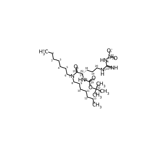 CCCCCCCN(CCCCCCC)C(=O)[C@H](CCCNC(=N)N[N+](=O)[O-])NC(=O)OC(C)(C)C